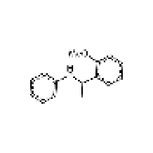 COc1ccccc1C(C)Pc1ccccc1